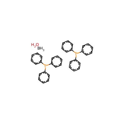 B.O.c1ccc(P(c2ccccc2)c2ccccc2)cc1.c1ccc(P(c2ccccc2)c2ccccc2)cc1